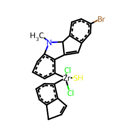 CN1c2ccc[c]([Zr]([SH])([Cl])([Cl])[c]3cccc4c3C=CC4)c2C2=Cc3cc(Br)ccc3C21